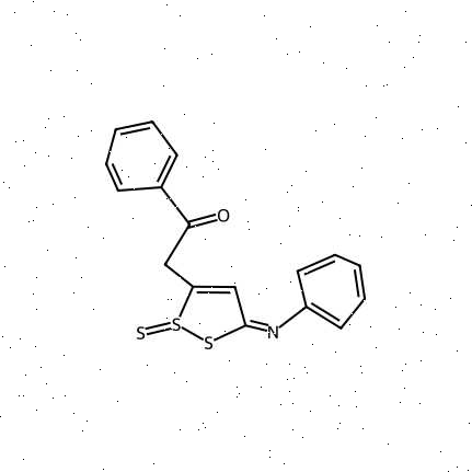 O=C(CC1=CC(=Nc2ccccc2)SS1=S)c1ccccc1